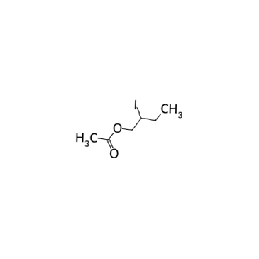 CCC(I)COC(C)=O